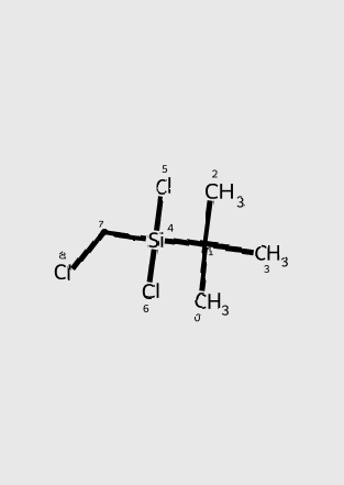 CC(C)(C)[Si](Cl)(Cl)CCl